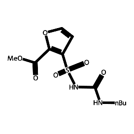 CCCCNC(=O)NS(=O)(=O)c1ccoc1C(=O)OC